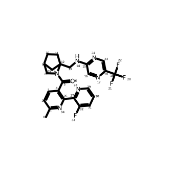 Cc1ccc(C(=O)N2CC3CCC2(CNc2cnc(C(F)(F)F)cn2)C3)c(-c2ncccc2F)n1